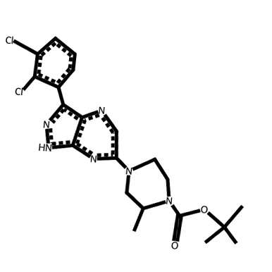 CC1CN(c2cnc3c(-c4cccc(Cl)c4Cl)n[nH]c3n2)CCN1C(=O)OC(C)(C)C